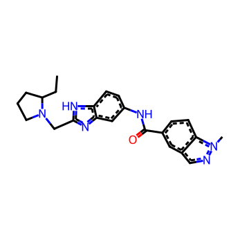 CCC1CCCN1Cc1nc2cc(NC(=O)c3ccc4c(cnn4C)c3)ccc2[nH]1